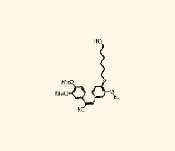 CCOc1cc(C=C(C#N)c2ccc(OC)c(OC)c2)ccc1OCCCCCCO